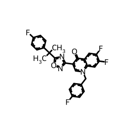 CC(C)(c1ccc(F)cc1)c1nc(-c2cn(Cc3ccc(F)cc3)c3cc(F)c(F)cc3c2=O)no1